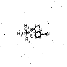 CC(C)(C)[S+]([O-])/N=C1/CCOc2c(C#N)cccc21